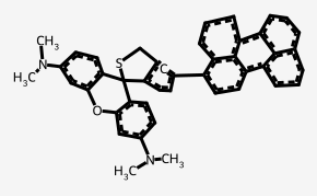 CN(C)c1ccc2c(c1)Oc1cc(N(C)C)ccc1C21SCc2cc(-c3ccc4c5cccc6cccc(c7cccc3c74)c65)ccc21